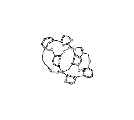 COc1ccc2cc1COC/C=C(\c1cc(OC)c3cc1Nc1nccc(n1)-c1cccc(c1)OCC/C=C/COC3)COc1cccc(c1)-c1ccnc(n1)N2